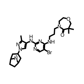 Cc1nn(C2CC3CCC(C2)N3C)cc1Nc1ncc(Br)c(NCCCN2CCOCC(C)(C)C2=O)n1